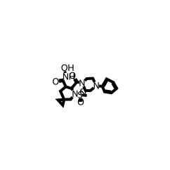 CS(=O)(=O)N1CC2(CC2)CC(C(=O)NO)C1C(=O)N1CCN(c2ccccc2)CC1